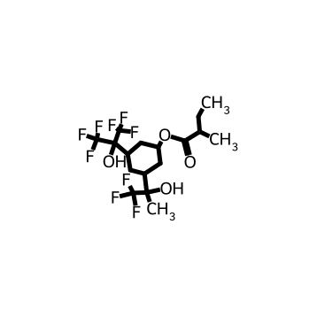 CCC(C)C(=O)OC1CC(C(C)(O)C(F)(F)F)CC(C(O)(C(F)(F)F)C(F)(F)F)C1